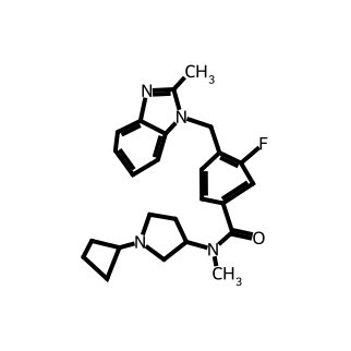 Cc1nc2ccccc2n1Cc1ccc(C(=O)N(C)C2CCN(C3CCC3)C2)cc1F